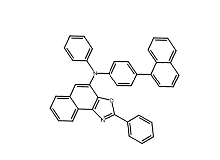 c1ccc(-c2nc3c(o2)c(N(c2ccccc2)c2ccc(-c4cccc5ccccc45)cc2)cc2ccccc23)cc1